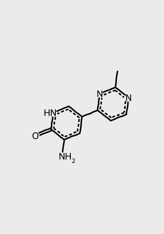 Cc1nccc(-c2c[nH]c(=O)c(N)c2)n1